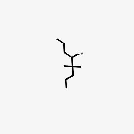 CCCC(O)C(C)(C)CCC